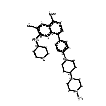 CCc1nc2c(NC)ncc(-c3ccc(N4CCC(N5CCN(C)CC5)CC4)cc3)c2nc1NC1CCOCC1